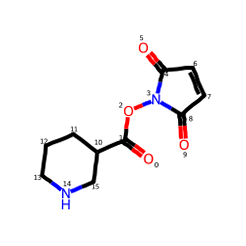 O=C(ON1C(=O)C=CC1=O)C1CCCNC1